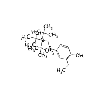 CCc1cc(SC[Si](C(C)(C)C)(C(C)(C)C)C(C)(C)C)ccc1O